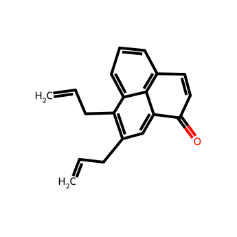 C=CCc1cc2c3c(cccc3c1CC=C)C=CC2=O